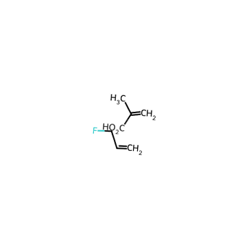 C=C(C)C(=O)O.C=CCF